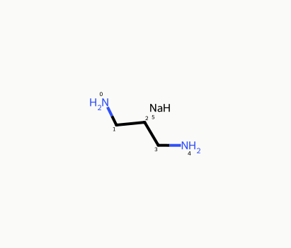 NCCCN.[NaH]